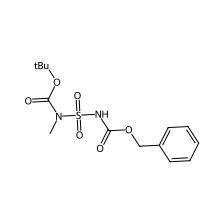 CN(C(=O)OC(C)(C)C)S(=O)(=O)NC(=O)OCc1ccccc1